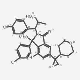 CO[C@]1(c2ccc(Cl)cc2)c2c(F)cc(C3(C4CCOCC4)CO3)cc2C(=O)N1C(c1ccc(Cl)cc1)C(C)C(=O)O